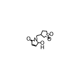 O=C1C=CC(O)N1CC1CCS(=O)(=O)C1